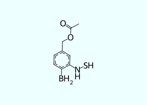 Bc1ccc(COC(C)=O)cc1NS